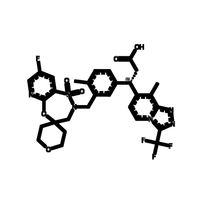 Cc1ccc([C@H](CC(=O)O)c2ccn3c(C(F)(F)F)nnc3c2C)cc1CN1CC2(CCOCC2)Oc2ncc(F)cc2S1(=O)=O